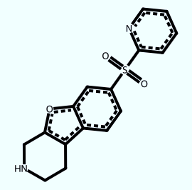 O=S(=O)(c1ccc2c3c(oc2c1)CNCC3)c1ccccn1